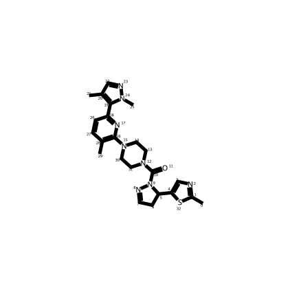 Cc1ncc(C2CC=NN2C(=O)N2CCN(c3nc(-c4c(C)cnn4C)ccc3C)CC2)s1